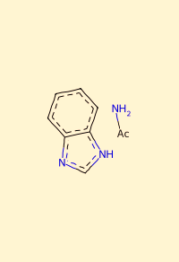 CC(N)=O.c1ccc2[nH]cnc2c1